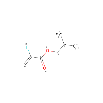 C=C(F)C(=O)OCC(C(F)(F)F)C(F)(F)F